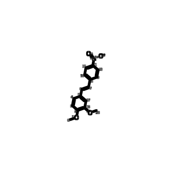 COc1ccc(C=Cc2ccc([N+](=O)[O-])cc2)cc1OC